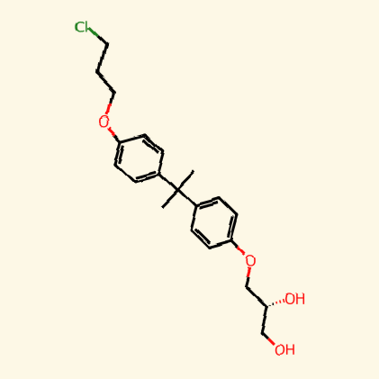 CC(C)(c1ccc(OCCCCl)cc1)c1ccc(OC[C@H](O)CO)cc1